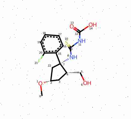 CO[C@H]1C[C@@H](CO)[C@](NC(=S)NC(=O)O)(c2ccccc2F)C1